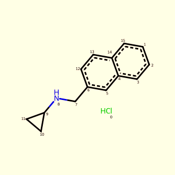 Cl.c1ccc2cc(CNC3CC3)ccc2c1